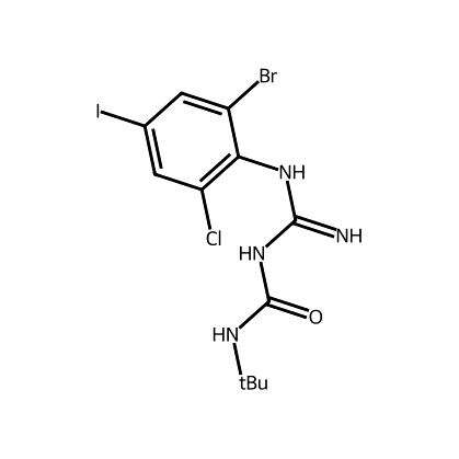 CC(C)(C)NC(=O)NC(=N)Nc1c(Cl)cc(I)cc1Br